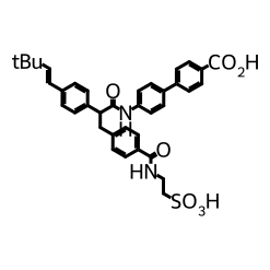 CC(C)(C)/C=C/c1ccc(C(Cc2ccc(C(=O)NCCS(=O)(=O)O)cc2)C(=O)Nc2ccc(-c3ccc(C(=O)O)cc3)cc2)cc1